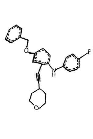 Fc1ccc(Nc2ccc(OCc3ccccc3)cc2C#CC2CCOCC2)cc1